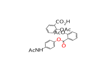 CC(=O)Nc1ccc(OC(=O)c2ccccc2OC(C)=O)cc1.CC(=O)Oc1ccccc1C(=O)O